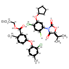 CC(C)=C1OC(=O)N(c2cc(OC3CCCC3)c(Cl)cc2F)C1=O.CCOC(=O)COC(=O)c1cc(Oc2ccc(C(F)(F)F)cc2Cl)ccc1[N+](=O)[O-]